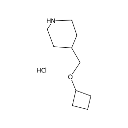 C1CC(OCC2CCNCC2)C1.Cl